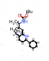 C=C(/C=c1/nc(-c2ccccc2)cc/c1=C/C)C(C)NC(=O)OC(C)(C)C